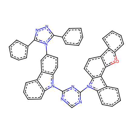 c1ccc(-c2nnc(-c3ccccc3)n2-c2ccc3c(c2)c2ccccc2n3-c2ncnc(-n3c4ccccc4c4c5oc6ccccc6c5ccc43)n2)cc1